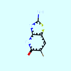 Nc1nc2[nH]c(=O)c(Br)cc2s1